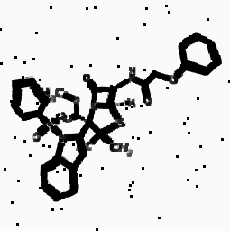 COC(=O)[C@]1(c2cc3ccccc3n2S(=O)(=O)c2ccccc2)N2C(=O)[C@@H](NC(=O)COc3ccccc3)[C@H]2SC1(C)C